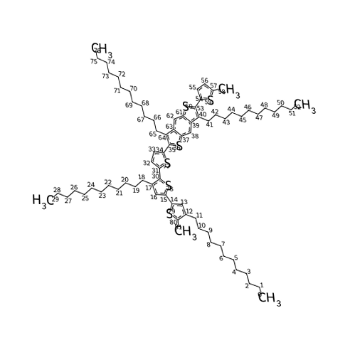 CCCCCCCCCCCCc1cc(-c2cc(CCCCCCCCCCCC)c(-c3ccc(-c4sc5cc6c(CCCCCCCCCCCC)c(-c7ccc(C)s7)sc6cc5c4CCCCCCCCCCCC)s3)s2)sc1C